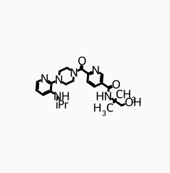 CC(C)Nc1cccnc1N1CCN(C(=O)c2ccc(C(=O)NC(C)(C)CO)cn2)CC1